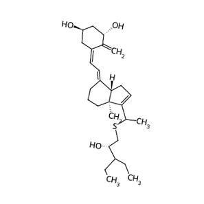 C=C1/C(=C\C=C2/CCC[C@]3(C)C(C(C)SC[C@@H](O)C(CC)CC)=CC[C@@H]23)C[C@@H](O)C[C@@H]1O